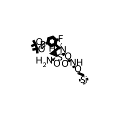 CC1(C)OB(c2ccc(F)c([C@@]3(C)N=C(OC(=O)NCOCC[Si](C)(C)C)S[C@@]4(C(N)=O)C[C@H]43)c2)OC1(C)C